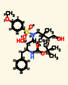 COc1ccc(S(=O)(=O)N(C[C@@H](O)[C@H](Cc2ccccc2)NC(=O)OC(C)(C)C)CC(C)(C)CCO)cc1